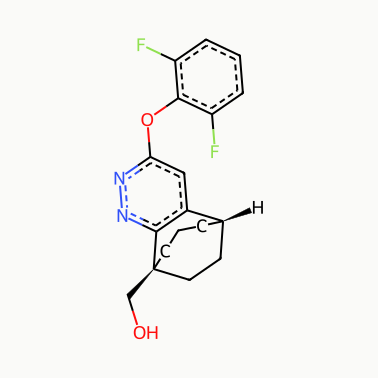 OC[C@@]12CCC[C@@H](CC1)c1cc(Oc3c(F)cccc3F)nnc12